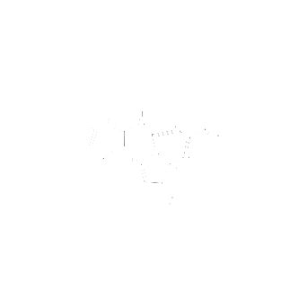 CN(c1ccccc1)c1nc(C=S)nc2c(I)cnn12